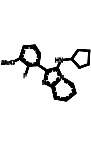 COc1cccc(-c2nc3ccccn3c2NC2CCCC2)c1F